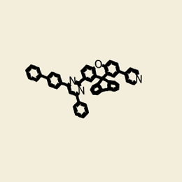 c1ccc(-c2ccc(-c3cc(-c4ccccc4)nc(-c4ccc5c(c4)C4(c6cc(-c7ccncc7)ccc6O5)c5ccccc5-c5ccccc54)n3)cc2)cc1